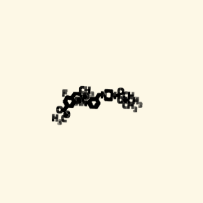 COC(=O)c1ccc(CC(C)S(=O)(=O)Nc2cccc(CN3CCN(C(=O)OC(C)(C)C)CC3)c2)c(F)c1